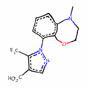 CN1CCOc2c1cccc2-n1ncc(C(=O)O)c1C(F)(F)F